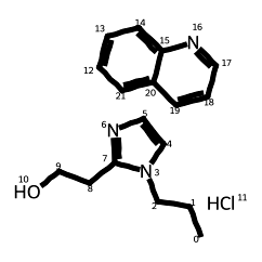 CCCn1ccnc1CCO.Cl.c1ccc2ncccc2c1